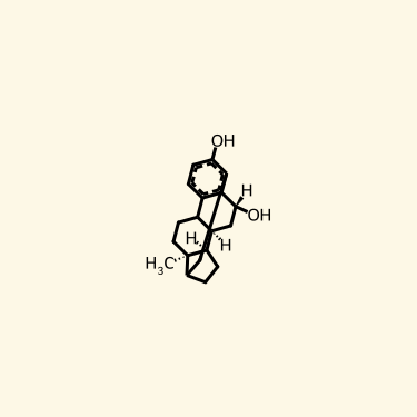 C[C@]12CCC3c4ccc(O)c5c4[C@H](O)C[C@H]3[C@H]1CCC2C5